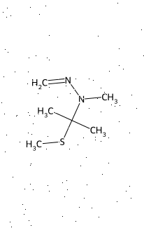 C=NN(C)C(C)(C)SC